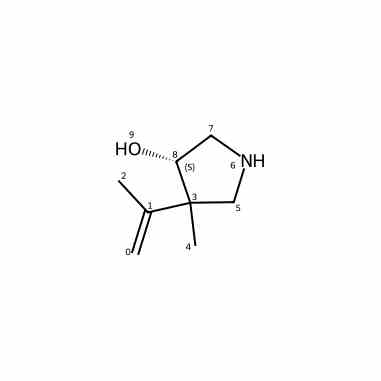 C=C(C)C1(C)CNC[C@H]1O